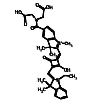 CCN1/C(=C\C2=C(O)C(=C/C3=[N+](C)c4ccc(C(=O)N(CC(=O)O)CC(=O)O)cc4C3(C)C)/C2=O)C(C)(C)c2ccccc21